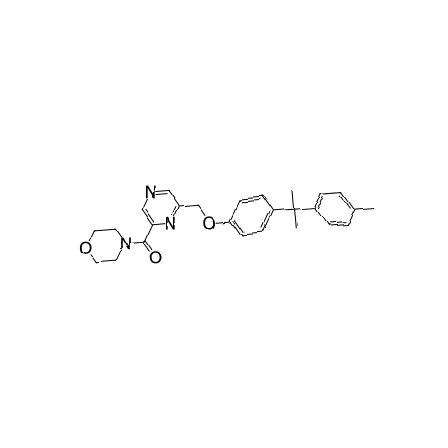 Cc1ccc(C(C)(C)c2ccc(OCc3cncc(C(=O)N4CCOCC4)n3)cc2)cc1